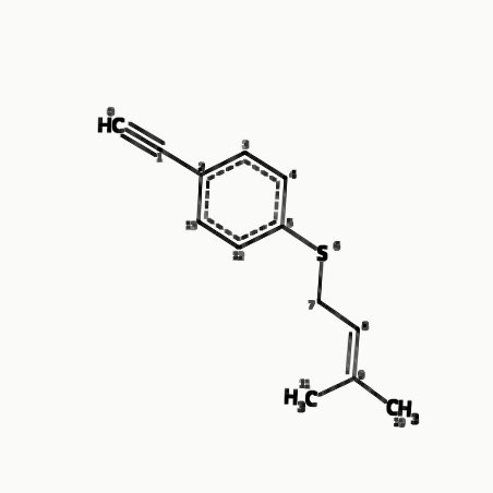 C#Cc1ccc(SCC=C(C)C)cc1